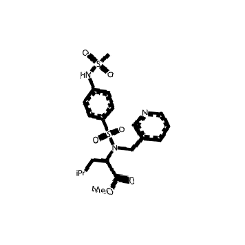 COC(=O)C(CC(C)C)N(Cc1cccnc1)S(=O)(=O)c1ccc(NS(C)(=O)=O)cc1